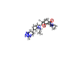 Cc1c(-c2cc3ccc(-c4ccn5c(C)nnc5c4)cc3n2CC2CC2)oc2cc(C(=O)N3CC4CCC3C4C)ccc12